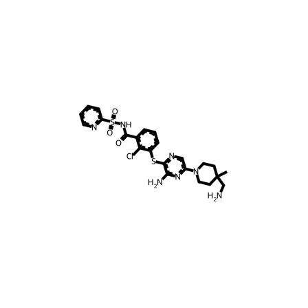 CC1(CN)CCN(c2cnc(Sc3cccc(C(=O)NS(=O)(=O)c4ccccn4)c3Cl)c(N)n2)CC1